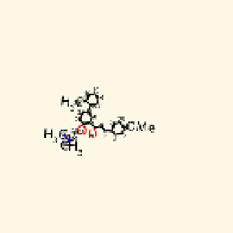 COc1ccc(C=CC(=O)c2cc(-c3ccccc3C)ccc2OCCN(C)C)cc1